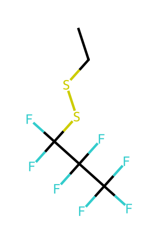 CCSSC(F)(F)C(F)(F)C(F)(F)F